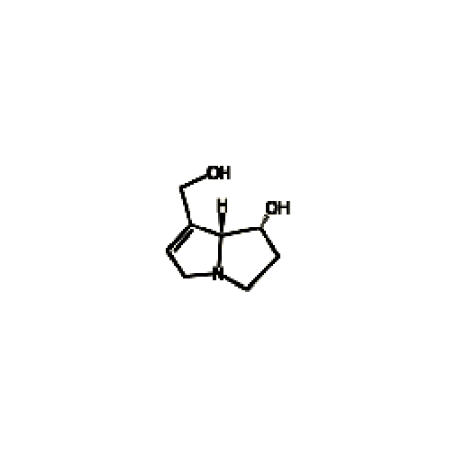 OCC1=CCN2CC[C@@H](O)[C@@H]12